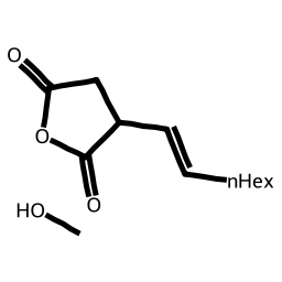 CCCCCCC=CC1CC(=O)OC1=O.CO